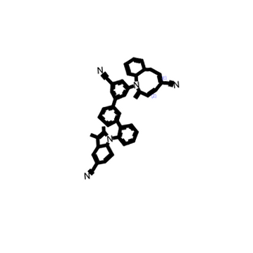 C=C1/C=C\C(C#N)=C/CC2C=CC=CC2N1c1cc(C#N)cc(-c2cccc(-c3ccccc3N3C(C)=C(C)C4C=C(C#N)C=CC43)c2)c1